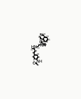 CC(=O)Nc1ccc(C=CC(C)NCCNS(=O)(=O)c2cccc3cnccc23)cc1